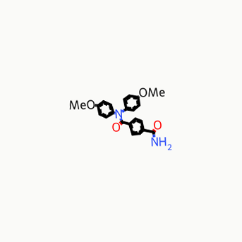 COc1ccc(N(C(=O)c2ccc(C(N)=O)cc2)c2ccc(OC)cc2)cc1